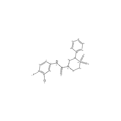 O=C(Nc1ccc(F)c(Cl)c1)N1CCS(=O)(=O)C(c2ccccc2)C1